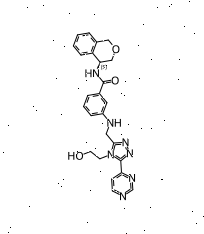 O=C(N[C@@H]1COCc2ccccc21)c1cccc(NCc2nnc(-c3ccncn3)n2CCO)c1